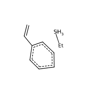 C=Cc1ccccc1.CC[SiH3]